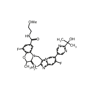 COCCNC(=O)c1cc(F)c2c(c1)N(Cc1c(C)nc3cc(F)c(-c4cnc(C(C)(C)O)nc4)cn13)C(=O)C(C)O2